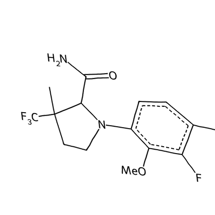 COc1c(N2CCC(C)(C(F)(F)F)C2C(N)=O)ccc(F)c1F